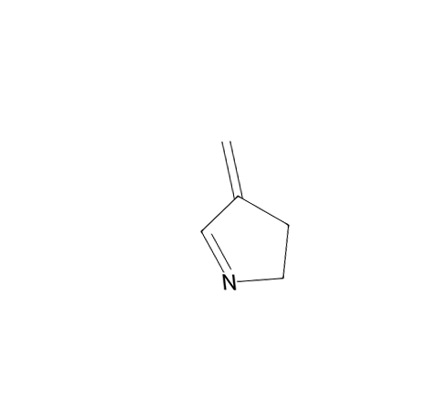 C=C1C=NCC1